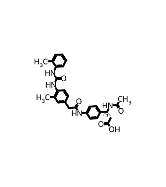 CC(=O)N[C@H](CC(=O)O)c1ccc(NC(=O)Cc2ccc(NC(=O)Nc3ccccc3C)c(C)c2)cc1